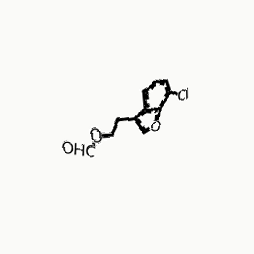 O=COCCc1coc2c(Cl)cccc12